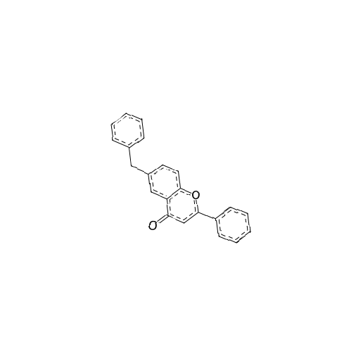 O=c1cc(-c2ccccc2)oc2ccc(Cc3ccccc3)cc12